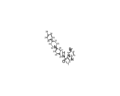 CCc1nc2ccc(Br)cn2c1C(=O)NCc1ccc(N2CCC(c3ccc(C)cc3)CC2)cc1